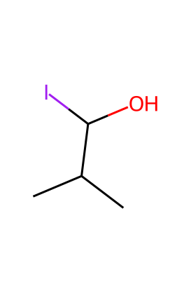 CC(C)C(O)I